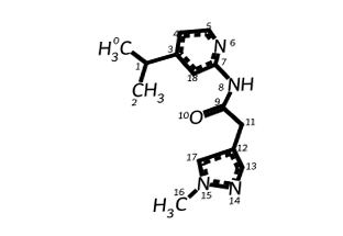 CC(C)c1ccnc(NC(=O)Cc2cnn(C)c2)c1